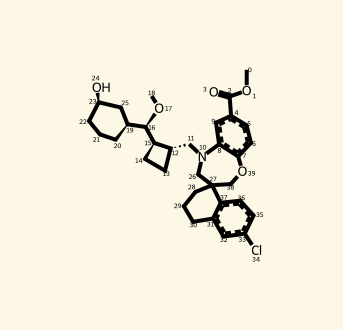 COC(=O)c1ccc2c(c1)N(C[C@@H]1CC[C@H]1[C@H](OC)[C@H]1CCC[C@@H](O)C1)CC1(CCCc3cc(Cl)ccc31)CO2